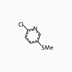 [CH2]Sc1ccc(Cl)nc1